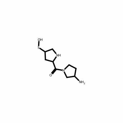 NC1CCN(C(=O)C2CC(SO)CN2)C1